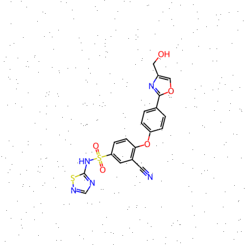 N#Cc1cc(S(=O)(=O)Nc2ncns2)ccc1Oc1ccc(-c2nc(CO)co2)cc1